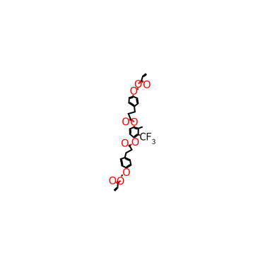 C=CC(=O)OCOc1ccc(CCC(=O)Oc2ccc(OC(=O)CCc3ccc(OCOC(=O)C=C)cc3)c(C(F)(F)F)c2C)cc1